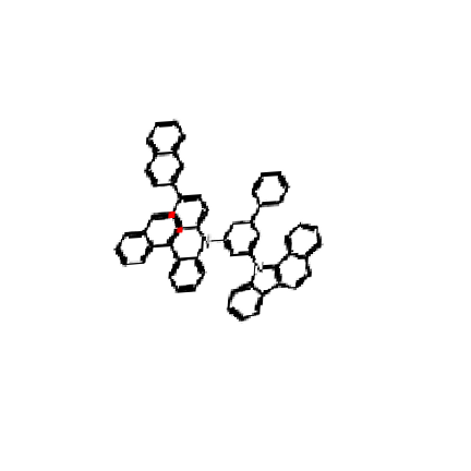 C1=C(N(c2ccc(-c3ccc4ccccc4c3)cc2)c2ccccc2-c2cccc3ccccc23)CC(c2ccccc2)C=C1n1c2ccccc2c2ccc3ccccc3c21